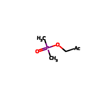 CC(=O)COP(C)(C)=O